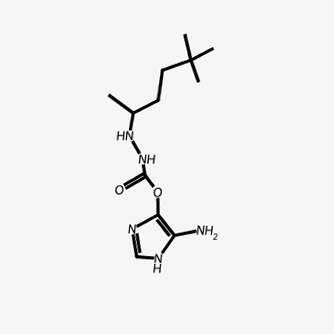 CC(CCC(C)(C)C)NNC(=O)Oc1nc[nH]c1N